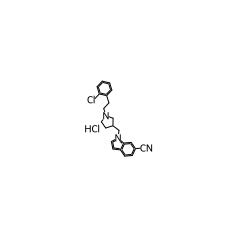 Cl.N#Cc1ccc2ccn(CC3CCN(CCc4ccccc4Cl)C3)c2c1